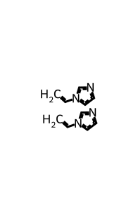 C=Cn1ccnc1.C=Cn1ccnc1